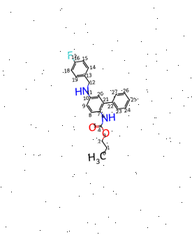 CCCOC(=O)Nc1ccc(NCc2ccc(F)cc2)cc1-c1ccccc1